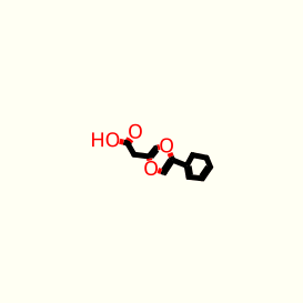 O=C(O)CC1=COC(C2=CC=CCC2)=CO1